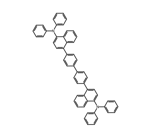 c1ccc(N(c2ccccc2)c2ccc(-c3ccc(-c4ccc(-c5ccc(N(c6ccccc6)c6ccccc6)c6ccccc56)cc4)cc3)c3ccccc23)cc1